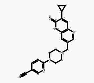 N#Cc1ccc(N2CCN(Cc3cnc4cc(C5CC5)c(=O)[nH]c4c3)CC2)nc1